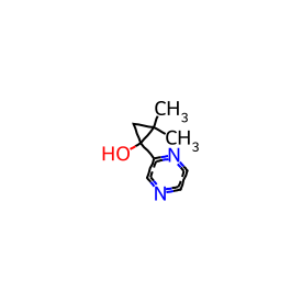 CC1(C)CC1(O)c1cnccn1